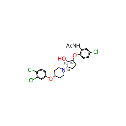 CC(=O)Nc1cc(Cl)ccc1O[C@H]1CC[C@H](N2CCC(Oc3ccc(Cl)c(Cl)c3)CC2)[C@H]1O